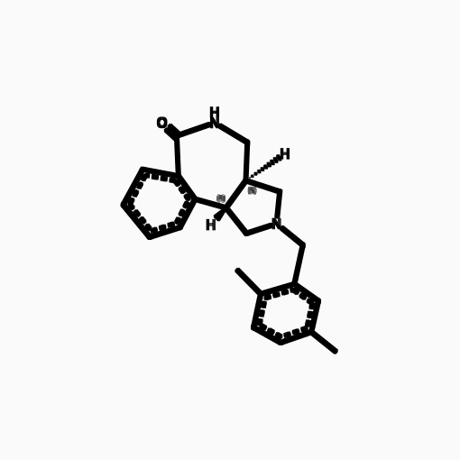 Cc1ccc(C)c(CN2C[C@@H]3CNC(=O)c4ccccc4[C@H]3C2)c1